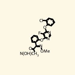 CON=C(C(=O)N(C)O)c1ccccc1Oc1ncnc(Oc2ccccc2Cl)c1F